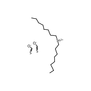 CCCCCCC[CH2][Sn+2][CH2]CCCCCCC.[O-]C=S.[O-]C=S